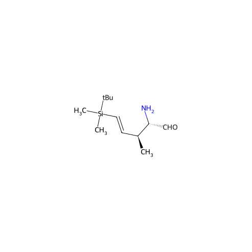 C[C@@H](C=C[Si](C)(C)C(C)(C)C)[C@H](N)C=O